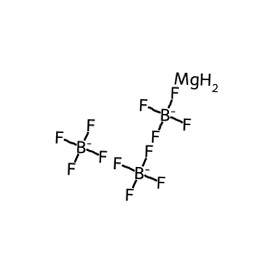 F[B-](F)(F)F.F[B-](F)(F)F.F[B-](F)(F)F.[MgH2]